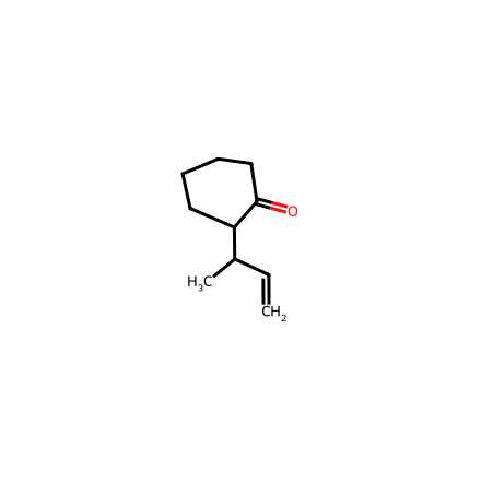 C=CC(C)C1CCCCC1=O